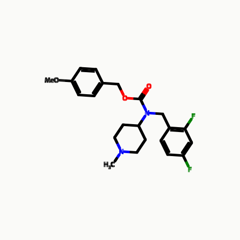 COc1ccc(COC(=O)N(Cc2ccc(F)cc2F)C2CCN(C)CC2)cc1